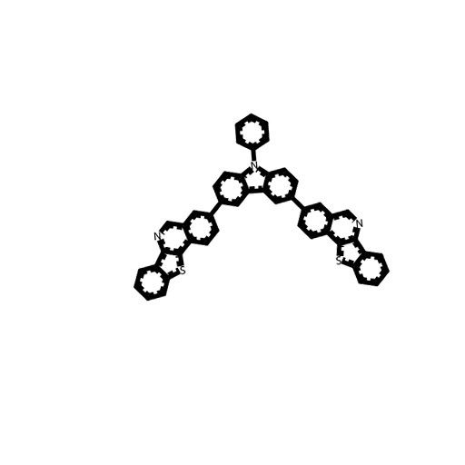 c1ccc(-n2c3ccc(-c4ccc5c(cnc6c7ccccc7sc56)c4)cc3c3cc(-c4ccc5c(cnc6c7ccccc7sc56)c4)ccc32)cc1